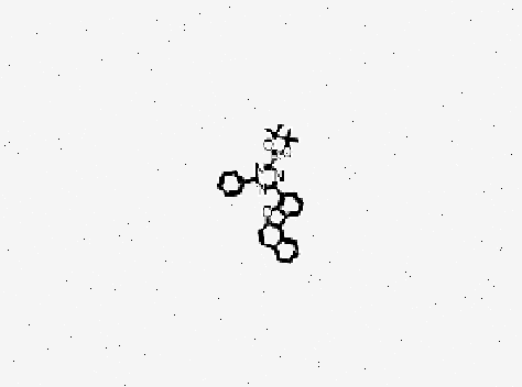 CC1(C)OB(c2nc(-c3ccccc3)nc(-c3cccc4c3oc3ccc5ccccc5c34)n2)OC1(C)C